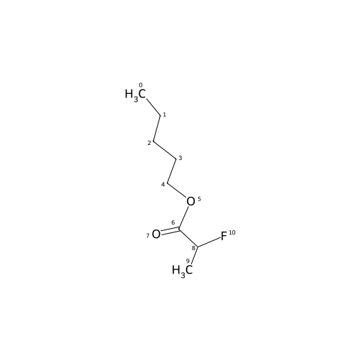 CCCCCOC(=O)C(C)F